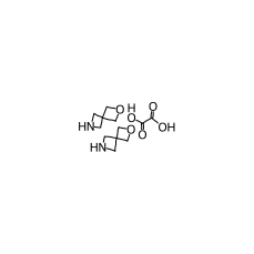 C1NCC12COC2.C1NCC12COC2.O=C(O)C(=O)O